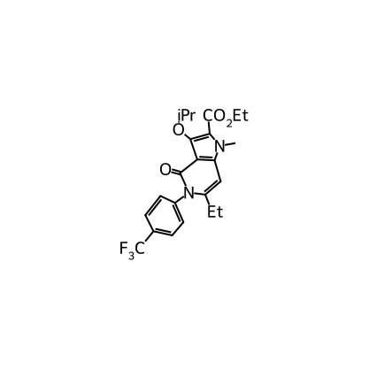 CCOC(=O)c1c(OC(C)C)c2c(=O)n(-c3ccc(C(F)(F)F)cc3)c(CC)cc2n1C